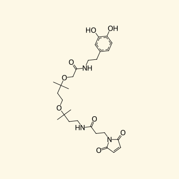 CC(C)(CCNC(=O)CCN1C(=O)C=CC1=O)OCCC(C)(C)OCC(=O)NCCc1ccc(O)c(O)c1